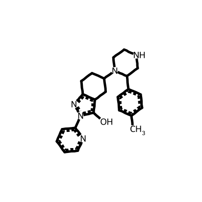 Cc1ccc(C2CNCCN2C2CCc3nn(-c4ccccn4)c(O)c3C2)cc1